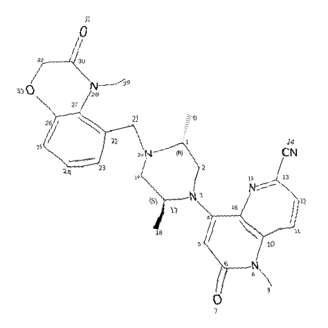 C[C@@H]1CN(c2cc(=O)n(C)c3ccc(C#N)nc23)[C@@H](C)CN1Cc1cccc2c1N(C)C(=O)CO2